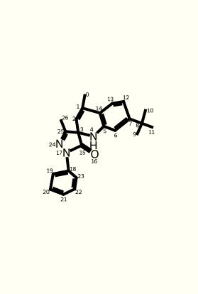 CC1=CC2(Nc3cc(C(C)(C)C)ccc31)C(=O)N(c1ccccc1)N=C2C